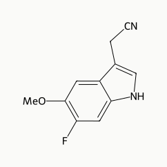 COc1cc2c(CC#N)c[nH]c2cc1F